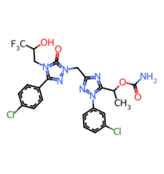 CC(OC(N)=O)c1nc(Cn2nc(-c3ccc(Cl)cc3)n(CC(O)C(F)(F)F)c2=O)nn1-c1cccc(Cl)c1